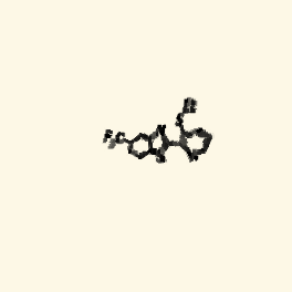 CCSc1cccnc1-c1nc2cc(C(F)(F)F)ccc2s1